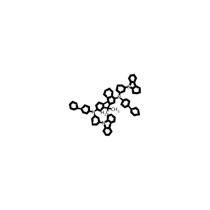 CC1(C)c2cc(N(c3ccc(-c4ccccc4)cc3)c3cccc(-n4c5ccccc5c5ccccc54)c3)ccc2-c2c1cc(N(c1ccc(-c3ccccc3)cc1)c1cccc(-n3c4ccccc4c4ccccc43)c1)c1ccccc21